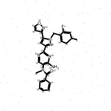 CC1C=C(F)C(Cn2nc(-c3ncc(N(C)C(=O)c4ccccc4)c(N)n3)cc2-c2ccon2)=CC1